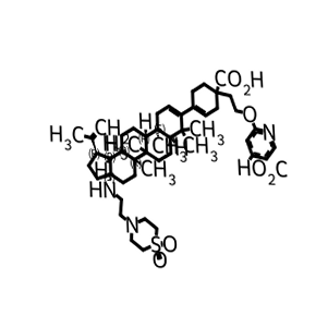 C=C(C)[C@@H]1CC[C@]2(NCCN3CCS(=O)(=O)CC3)CC[C@]3(C)[C@H](CC[C@H]4C3(C)CC[C@H]3C(C)(C)C(C5=CCC(CCOc6cc(C(=O)O)ccn6)(C(=O)O)CC5)=CC[C@@]34C)[C@@H]12